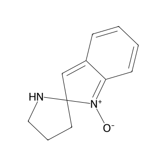 [O-][N+]1=c2ccccc2=CC12CCCN2